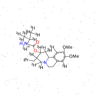 [2H]c1c2c(c([2H])c(OC)c1OC)C1N(CC2)C([2H])([2H])C([2H])(CC(C)C)C([2H])(OC(=O)[C@@]([2H])(N)C([2H])(C([2H])([2H])[2H])C([2H])([2H])[2H])C1([2H])[2H]